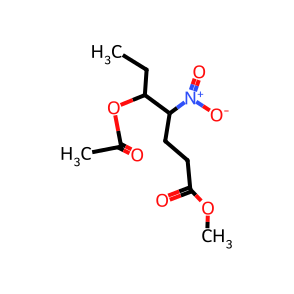 CCC(OC(C)=O)C(CCC(=O)OC)[N+](=O)[O-]